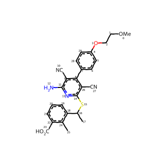 COCCOc1ccc(-c2c(C#N)c(N)nc(SC(C)c3cccc(C(=O)O)c3C)c2C#N)cc1